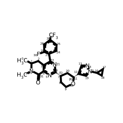 CC1Cc2c(nc([C@H]3CCO[C@@H](c4cnn(C5CC5)c4)C3)nc2-c2ccc(C(F)(F)F)cc2F)C(=O)N1C